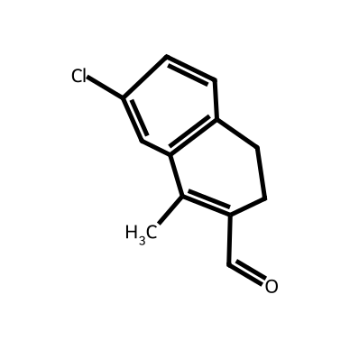 CC1=C(C=O)CCc2ccc(Cl)cc21